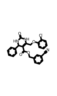 N#Cc1cccc(COC(=O)C2=C(COc3ccccc3Cl)NC(=O)NC2c2ccccc2)c1